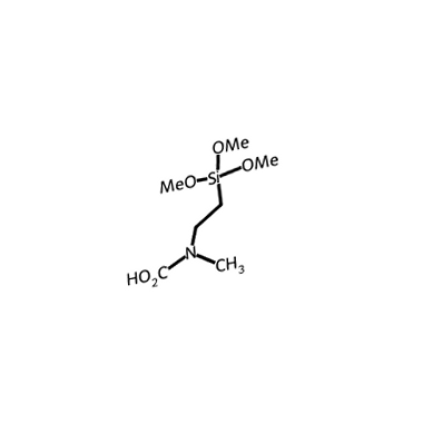 CO[Si](CCN(C)C(=O)O)(OC)OC